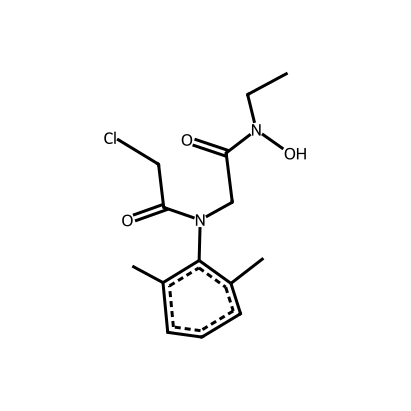 CCN(O)C(=O)CN(C(=O)CCl)c1c(C)cccc1C